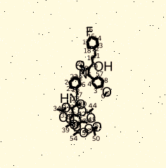 COc1ccc(C2C(C(O)CCc3ccc(F)cc3)C(=O)N2c2cccc(CNC(=O)C(OC(C)=O)C(OC(C)=O)C(OC(C)=O)C(COC(C)=O)OC(C)=O)c2)cc1